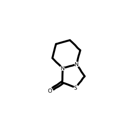 O=C1SCN2CCCCN12